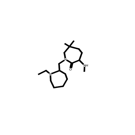 CCN1CCCCCC1CN1CC(C)(C)CCC(NC)C1=O